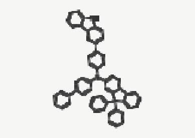 c1ccc(-c2ccc(N(c3ccc(-c4ccc5[nH]c6ccccc6c5c4)cc3)c3ccc4c(c3)C(c3ccccc3)(c3ccccc3)c3ccccc3-4)cc2)cc1